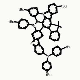 CC(C)(C)c1ccc(N2B3c4cc(C(C)(C)C)ccc4-n4c5ccc(C(C)(C)C)cc5c5c6c(c(c3c54)-c3cc4c(cc32)sc2ccc(N(c3ccc(C(C)(C)C)cc3)c3ccc(C(C)(C)C)cc3)cc24)-c2ccccc2C6(C)C)cc1